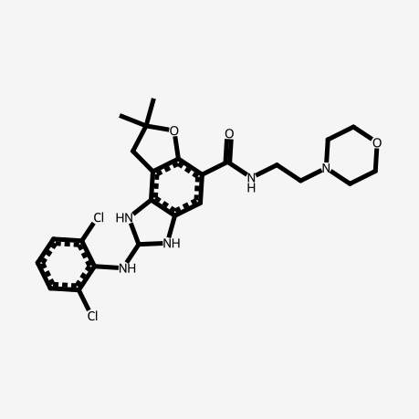 CC1(C)Cc2c3c(cc(C(=O)NCCN4CCOCC4)c2O1)NC(Nc1c(Cl)cccc1Cl)N3